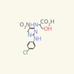 O=C(O)[C@@H](CO)Nc1nc(Nc2ccc(Cl)cc2)ncc1[N+](=O)[O-]